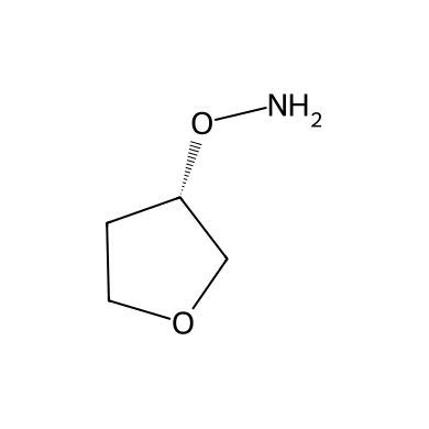 NO[C@H]1CCOC1